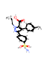 C=CCn1nc(-c2ccc(S(N)(=O)=O)cc2)c(-c2ccc(C)cc2)c1C(=O)O